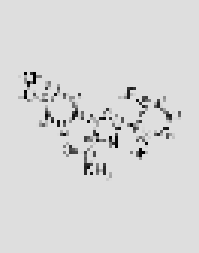 COc1ccc(-c2oc(-c3c(F)cccc3F)nc2C(N)=O)cc1